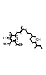 C/C=C(\C)[C@H](O)[C@H](C)CC(C)/C=C/C/C(C)=C/Cc1nc(CO)c(CO)c(O)c1C